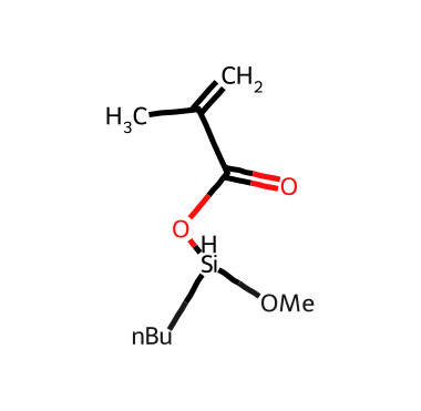 C=C(C)C(=O)O[SiH](CCCC)OC